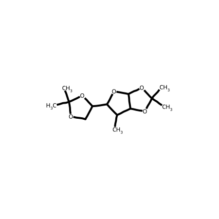 CC1C(C2COC(C)(C)O2)OC2OC(C)(C)OC21